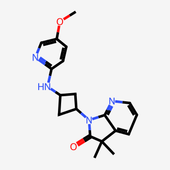 COc1ccc(NC2CC(N3C(=O)C(C)(C)c4cccnc43)C2)nc1